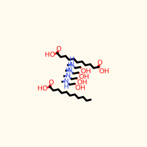 CCCCCCCCCCC(=O)O.CNCCO.CNCCO.CNCCO.CNCCO.O=C(O)CCCCCCCCCC(=O)O